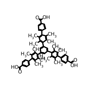 Cc1c(C)c(-c2cc(-c3c(C)c(C)c(-c4ccc(C(=O)O)cc4)c(C)c3C)cc(-c3c(C)c(C)c(-c4ccc(C(=O)O)cc4)c(C)c3C)c2)c(C)c(C)c1-c1ccc(C(=O)O)cc1